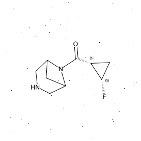 O=C([C@@H]1C[C@@H]1F)N1C2CNCC1C2